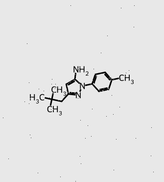 Cc1ccc(-n2nc(CC(C)(C)C)cc2N)cc1